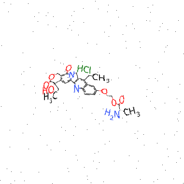 CCc1c2c(nc3ccc(OCCOC(=O)[C@H](C)N)cc13)-c1cc3c(c(=O)n1C2)COC(=O)[C@]3(O)CC.Cl